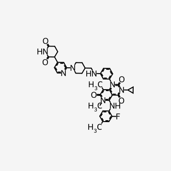 Cc1ccc(Nc2c3c(=O)n(C4CC4)c(=O)n(-c4cccc(NCC5CCN(c6cc(C7CCC(=O)NC7=O)ccn6)CC5)c4)c3c(C)c(=O)n2C)c(F)c1